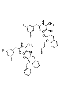 C[C@H](NC(=O)Cc1cc(F)cc(F)c1)C(=O)N[C@@H](Cc1ccccc1)C(=O)OCCCBr.C[C@H](NC(=O)Cc1cc(F)cc(F)c1)C(=O)N[C@@H](Cc1ccccc1)C(=O)OCc1ccccc1